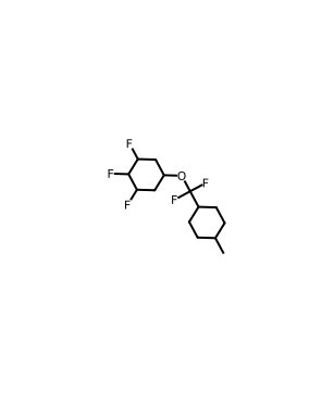 CC1CCC(C(F)(F)OC2CC(F)C(F)C(F)C2)CC1